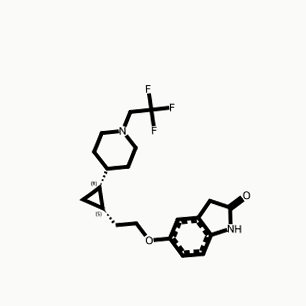 O=C1Cc2cc(OCC[C@@H]3C[C@@H]3C3CCN(CC(F)(F)F)CC3)ccc2N1